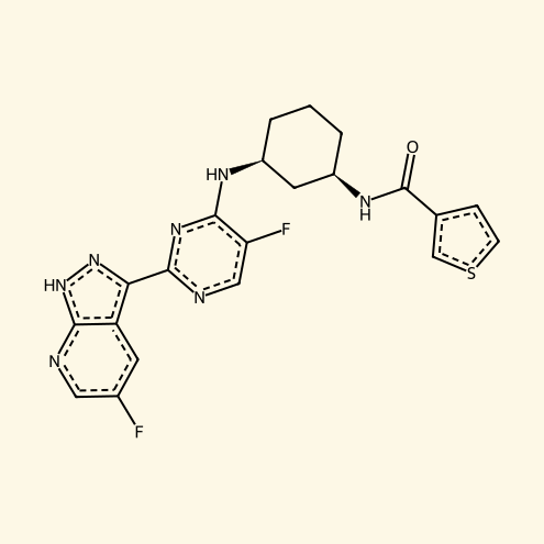 O=C(N[C@@H]1CCC[C@H](Nc2nc(-c3n[nH]c4ncc(F)cc34)ncc2F)C1)c1ccsc1